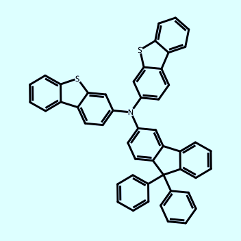 c1ccc(C2(c3ccccc3)c3ccccc3-c3cc(N(c4ccc5c(c4)sc4ccccc45)c4ccc5c(c4)sc4ccccc45)ccc32)cc1